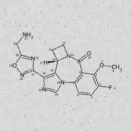 COc1c(F)ccc2c1C(=O)N1CC[C@H]1c1c(-c3noc(CN)n3)ncn1-2